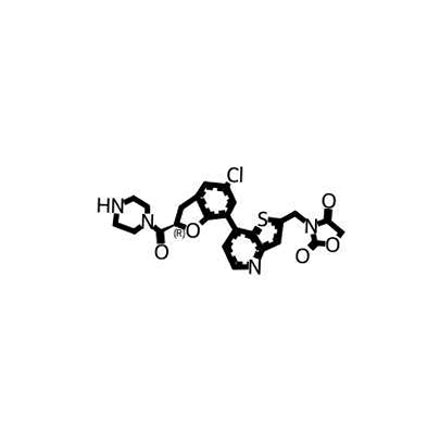 O=C([C@H]1Cc2cc(Cl)cc(-c3ccnc4cc(CN5C(=O)COC5=O)sc34)c2O1)N1CCNCC1